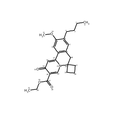 CCCCc1cc2c(cc1OC)-c1cc(=O)c(C(=O)OCC)cn1C1(CCC1)C2